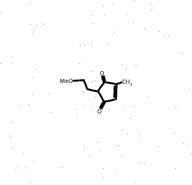 COCCC1C(=O)C=C(C)C1=O